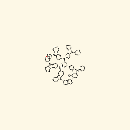 C1=CC2C(C=C1N(c1cc(-c3ccc4c(c3)c3c5sc6ccccc6c5ccc3n4-c3ccccc3)cc(N(c3ccc4c(c3)c3ccccc3n4-c3ccccc3)c3ccc4c(c3)c3ccccc3n4-c3ccccc3)c1)c1ccc3c(c1)c1ccccc1n3-c1ccccc1)c1ccccc1N2c1ccccc1